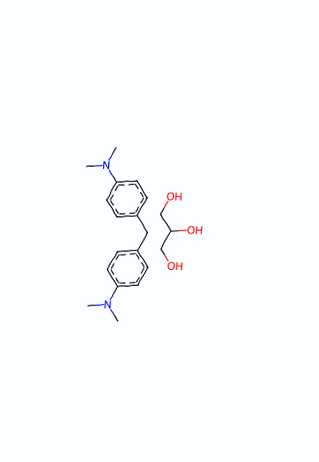 CN(C)c1ccc(Cc2ccc(N(C)C)cc2)cc1.OCC(O)CO